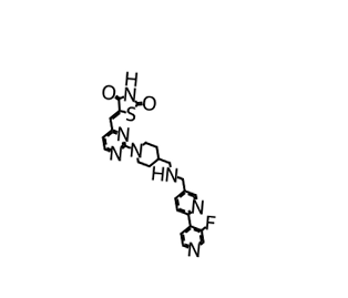 O=C1NC(=O)C(=Cc2ccnc(N3CCC(CNCc4ccc(-c5ccncc5F)nc4)CC3)n2)S1